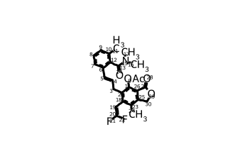 CC(=O)Oc1c(CC=Cc2cccc(C)c2C(=O)N(C)C)c(C=C(F)F)c(C)c2c1C(=O)OC2